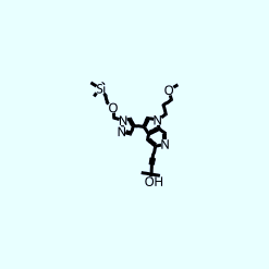 COCCCn1cc(-c2cnn(COCC[Si](C)(C)C)c2)c2cc(C#CC(C)(C)O)ncc21